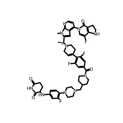 C[C@@H](c1cc2c(-n3cc(F)c4c(c3=O)CCN4)ccnc2n1C)N1CC=C(c2c(F)cc(C(=O)N3CCC(CN4CCN(c5ccc(NC6CCC(=O)NC6=O)cc5F)CC4)CC3)cc2F)CC1